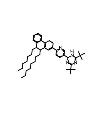 CCCCCCCCC1C2=C(CCC(c3ccc(C4N=C(C(C)(C)C)N=C(C(C)(C)C)N4)cn3)=C2)c2ccccc2C1CCCCCCC